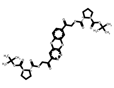 CC(C)(C)OC(=O)N1CCC[C@H]1C(=O)OCC(=O)c1ccc2c(c1)Oc1nnc(C(=O)COC(=O)[C@@H]3CCCN3C(=O)OC(C)(C)C)cc1O2